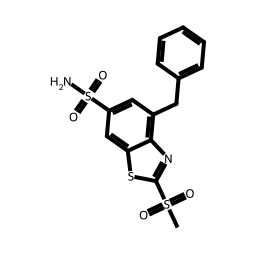 CS(=O)(=O)c1nc2c(Cc3ccccc3)cc(S(N)(=O)=O)cc2s1